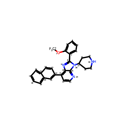 FC(F)(F)Oc1ccccc1-c1nc2c(-c3ccc4ccccc4c3)ccnc2n1C1CCNCC1